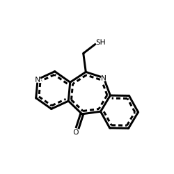 O=c1c2ccccc2nc(CS)c2cnccc12